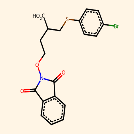 O=C(O)C(CCON1C(=O)c2ccccc2C1=O)CSc1ccc(Br)cc1